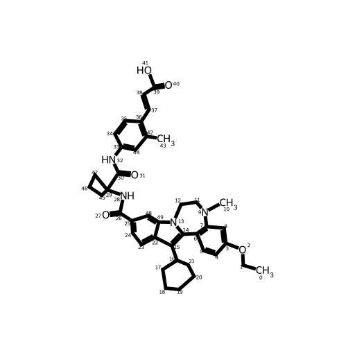 CCOc1ccc2c(c1)N(C)CCn1c-2c(C2CCCCC2)c2ccc(C(=O)NC3(C(=O)Nc4ccc(/C=C/C(=O)O)c(C)c4)CCC3)cc21